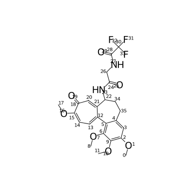 COc1cc2c(c(OC)c1OC)-c1ccc(OC)c(=O)cc1C(NC(=O)CNC(=O)C(F)(F)F)CC2